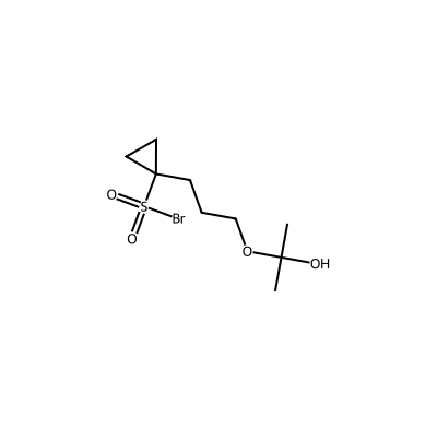 CC(C)(O)OCCCC1(S(=O)(=O)Br)CC1